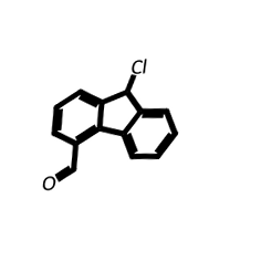 O=Cc1cccc2c1-c1ccccc1C2Cl